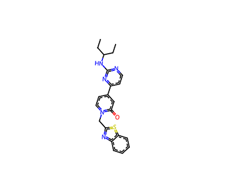 CCC(CC)Nc1nccc(-c2ccn(Cc3nc4ccccc4s3)c(=O)c2)n1